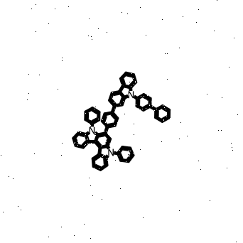 c1ccc(-c2ccc(-n3c4ccccc4c4ccc(-c5ccc(-c6cc7c(c8ccccc8n7-c7ccccc7)c7c8ccccc8n(-c8ccccc8)c67)cc5)cc43)cc2)cc1